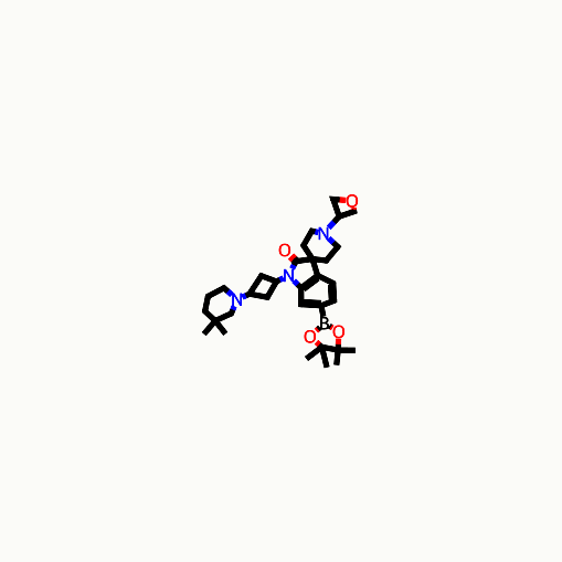 CC1(C)CCCN(C2CC(N3C(=O)C4(CCN(C5COC5)CC4)c4ccc(B5OC(C)(C)C(C)(C)O5)cc43)C2)C1